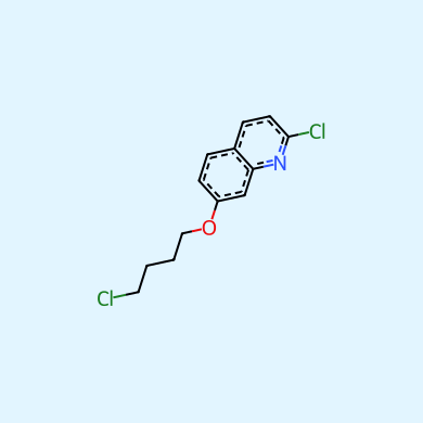 ClCCCCOc1ccc2ccc(Cl)nc2c1